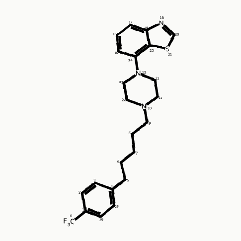 FC(F)(F)c1ccc(CCCCCN2CCN(c3cccc4n[c]sc34)CC2)cc1